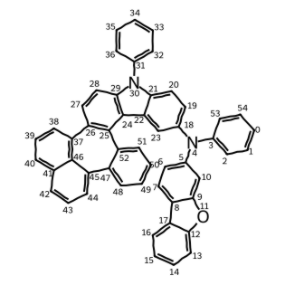 c1ccc(N(c2ccc3c(c2)oc2ccccc23)c2ccc3c(c2)c2c4c(ccc2n3-c2ccccc2)-c2cccc3cccc(c23)-c2ccccc2-4)cc1